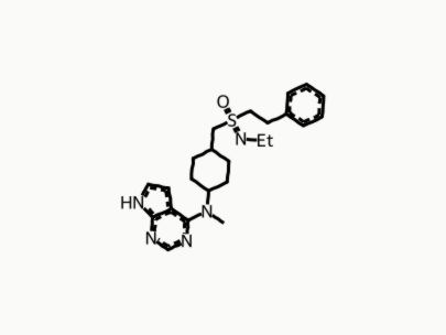 CCN=S(=O)(CCc1ccccc1)CC1CCC(N(C)c2ncnc3[nH]ccc23)CC1